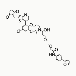 Cc1cc(Cl)cc(-c2ccnc3cc(CN4C(=O)CCC4=O)sc23)c1OC1CCN(C(O)CCOCCOCC(=O)Nc2ccc(-c3ccco3)cc2)CC1